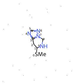 CSC1Cc2ncnn2CN1